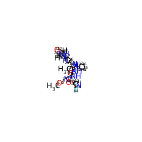 COCCN1C[C@@H](NC(=O)Nc2c(C)c(-c3ccc(N4C[C@H]5COC[C@@H](C4)N5)nc3)nn2-c2ccccc2)[C@H](c2ccnc(F)c2)O1